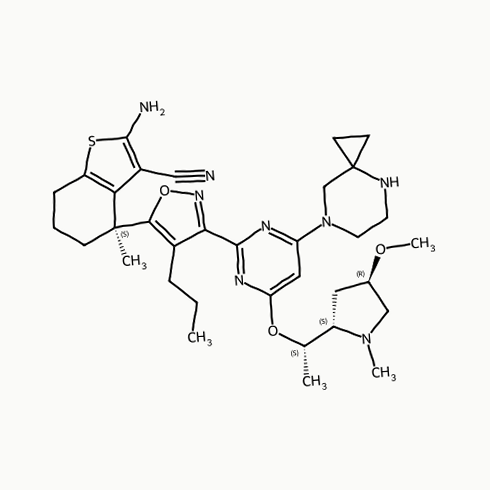 CCCc1c(-c2nc(O[C@@H](C)[C@@H]3C[C@@H](OC)CN3C)cc(N3CCNC4(CC4)C3)n2)noc1[C@@]1(C)CCCc2sc(N)c(C#N)c21